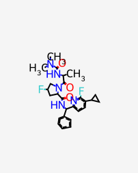 CC(NC(=O)N(C)C)C(=O)N1CC(F)CC1C(=O)NC(c1ccccc1)c1ccc(C2CC2)c(F)n1